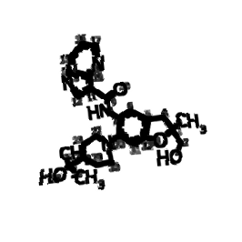 CC1(CO)Cc2cc(NC(=O)c3cnn4cccnc34)c(N3CCC(C(C)(C)O)CC3)cc2O1